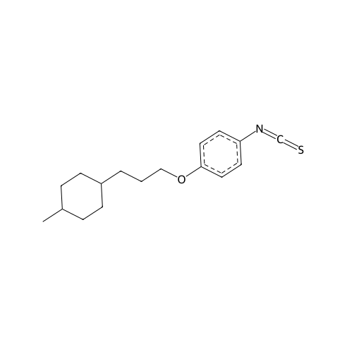 CC1CCC(CCCOc2ccc(N=C=S)cc2)CC1